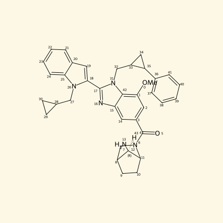 COc1cc(C(=O)N2CC3CCC2[C@@H]3N)cc2nc(-c3cc4ccccc4n3CC3CC3)n(CC3CC3c3ccccc3)c12